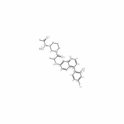 CC(=O)N(O)[C@H]1CCCN(C(=O)C(C)Oc2ccc3c(-c4ccc(F)cc4Cl)ccnc3c2)C1